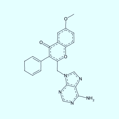 COc1ccc2oc(Cn3cnc4c(N)ncnc43)c(C3=CCCC=C3)c(=O)c2c1